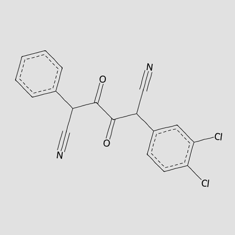 N#CC(C(=O)C(=O)C(C#N)c1ccc(Cl)c(Cl)c1)c1ccccc1